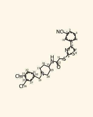 N#Cc1cccc(-c2csc(SCC(=O)NC3CCN(Cc4ccc(Cl)c(Cl)c4)CC3)n2)c1